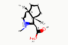 CN1C[C@@H]2CCC[C@@H]2C1C(=O)O